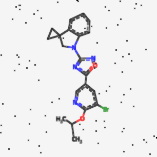 CC(C)Oc1ncc(-c2nc(N3CC4(CC4)c4ccccc43)no2)cc1Br